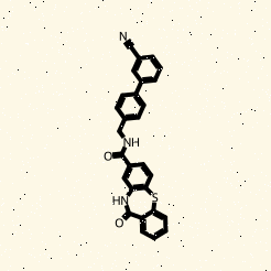 N#Cc1cccc(-c2ccc(CNC(=O)c3ccc4c(c3)NC(=O)c3ccccc3S4)cc2)c1